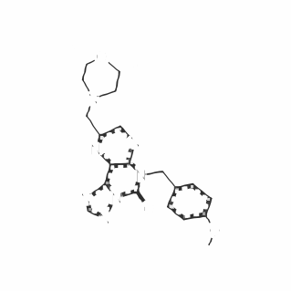 COc1ccc(Cn2c(=O)n3ncnc3c3nc(CN4C[C@@H](C)O[C@@H](C)C4)cnc32)cc1